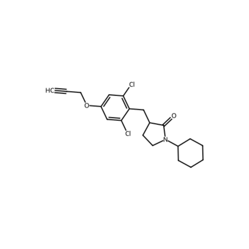 C#CCOc1cc(Cl)c(CC2CCN(C3CCCCC3)C2=O)c(Cl)c1